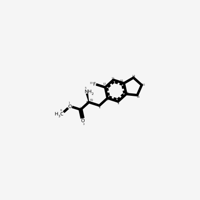 COC(=O)[C@@H](N)Cc1cc2c(cc1F)CCC2